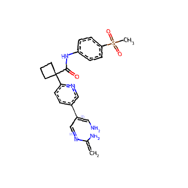 C=C(N)/N=C\C(=C/N)c1ccc(C2(C(=O)Nc3ccc(S(C)(=O)=O)cc3)CCC2)nc1